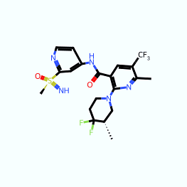 Cc1nc(N2CCC(F)(F)[C@@H](C)C2)c(C(=O)Nc2ccnc([S@](C)(=N)=O)c2)cc1C(F)(F)F